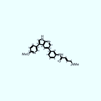 CNCC=CC(=O)Nc1cccc(-c2cnc3[nH]cc(-c4ccc(OC)nc4)c3c2)c1